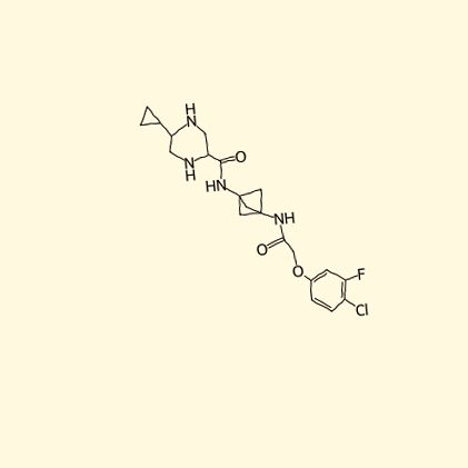 O=C(COc1ccc(Cl)c(F)c1)NC12CC(NC(=O)C3CNC(C4CC4)CN3)(C1)C2